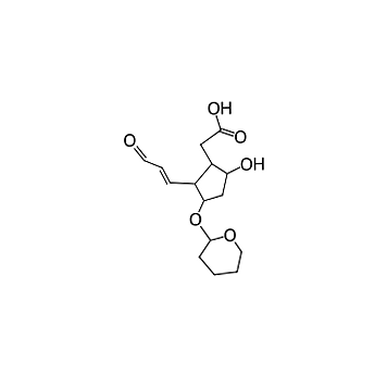 O=CC=CC1C(OC2CCCCO2)CC(O)C1CC(=O)O